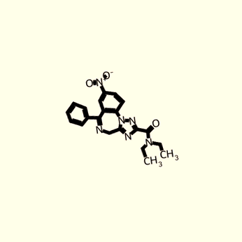 CCN(CC)C(=O)c1nc2n(n1)-c1ccc([N+](=O)[O-])cc1C(c1ccccc1)=NC2